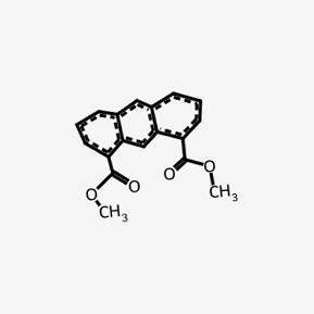 COC(=O)c1cccc2cc3cccc(C(=O)OC)c3cc12